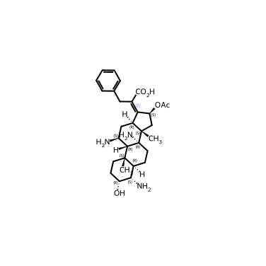 CC(=O)O[C@H]1C[C@@]2(C)[C@@H](C[C@H](N)[C@H]3[C@@]4(C)CC[C@@H](O)[C@@H](N)[C@@H]4CC[C@@]32N)/C1=C(\Cc1ccccc1)C(=O)O